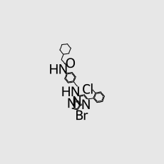 O=C(CC1CCCCC1)Nc1ccc(CNc2cc(-c3ccccc3Cl)nc3c(Br)cnn23)cc1